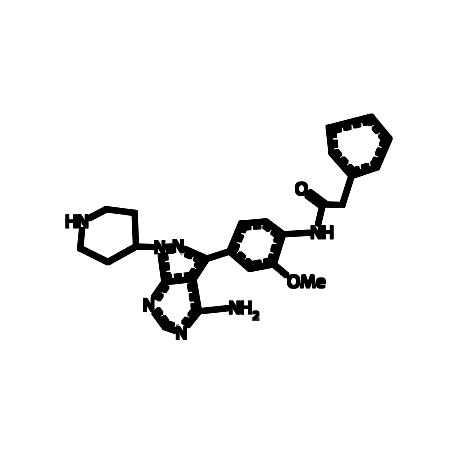 COc1cc(-c2nn(C3CCNCC3)c3ncnc(N)c23)ccc1NC(=O)Cc1ccccc1